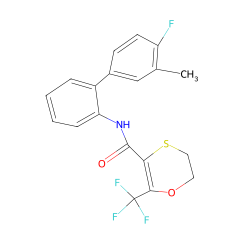 Cc1cc(-c2ccccc2NC(=O)C2=C(C(F)(F)F)OCCS2)ccc1F